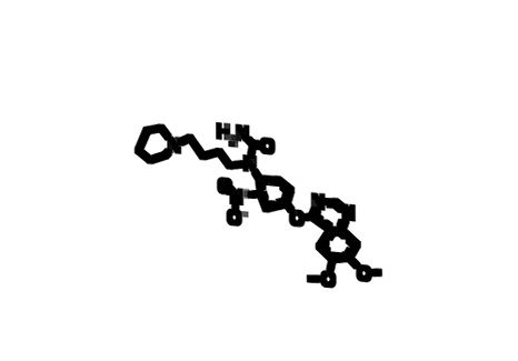 COc1cc2ncnc(Oc3ccc(N(CCCCN4CCCCC4)C(N)=O)c([N+](=O)[O-])c3)c2cc1OC